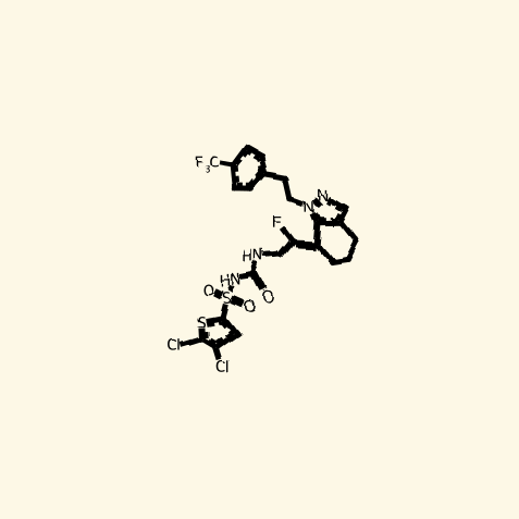 O=C(NCC(F)=C1CCCc2cnn(CCc3ccc(C(F)(F)F)cc3)c21)NS(=O)(=O)c1cc(Cl)c(Cl)s1